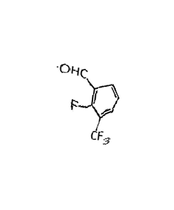 O=[C]c1cccc(C(F)(F)F)c1F